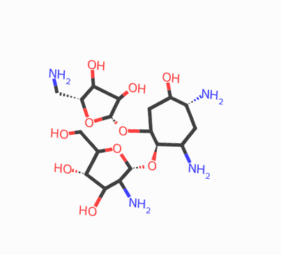 NC[C@H]1O[C@@H](OC2CC(O)[C@H](N)CC(N)[C@H]2O[C@H]2OC(CO)[C@@H](O)C(O)C2N)C(O)C1O